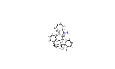 CC1(C)c2ccccc2-c2c1c1ccccc1c1c2[nH]c2ccccc21